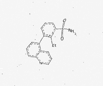 CCc1c(-c2cccc3ncccc23)cccc1S(N)(=O)=O